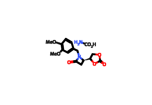 COc1ccc(CN2C(=O)C[C@H]2C2COC(=O)O2)cc1OC.NC(=O)O